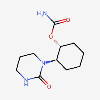 NC(=O)O[C@@H]1CCCC[C@H]1N1CCCNC1=O